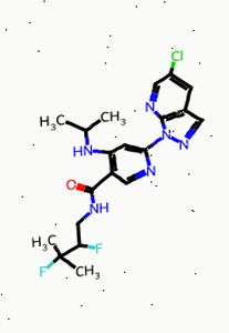 CC(C)Nc1cc(-n2ncc3cc(Cl)cnc32)ncc1C(=O)NCC(F)C(C)(C)F